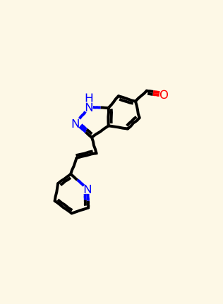 O=Cc1ccc2c(C=Cc3ccccn3)n[nH]c2c1